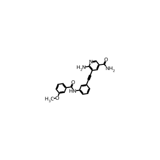 COc1cccc(C(=O)Nc2cccc(C#Cc3cc(C(N)=O)cnc3N)c2)c1